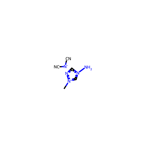 C[n+]1cn(N)cn1.N#C[N-]C#N